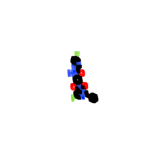 O=C(N[C@H]1CC[C@@H](n2c(=O)c3cc(F)cnc3n(CCc3ccccc3)c2=O)CC1)c1cn2cc(F)ccc2n1